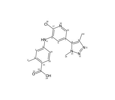 Cc1cc(Nc2cc(-c3c(C)nnn3C)cnc2Cl)ccc1C(=O)O